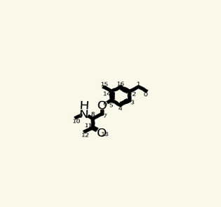 CCc1ccc(OCC(NC)C(C)=O)c(C)c1